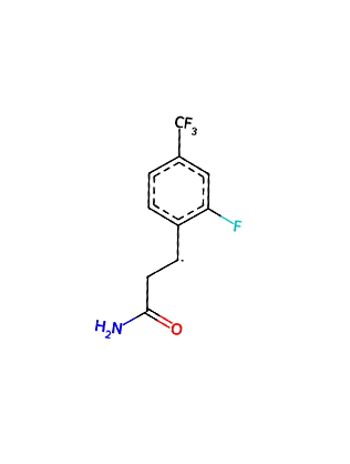 NC(=O)C[CH]c1ccc(C(F)(F)F)cc1F